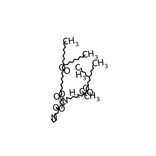 CCCCCCCCC(CCCCCCCC)OC(=O)CCCCCCCOC(=O)[C@@H]1C[C@H](OC(=O)CCN2CCC2)CN1CCCCCCC(C)(C)C(=O)OCCCC(CCCCC)CCCCC